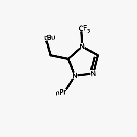 CCCN1N=CN(C(F)(F)F)C1CC(C)(C)C